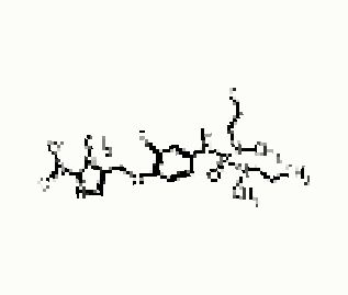 CCCN(C)P(=O)(Nc1ccc(OCc2cnc([N+](=O)[O-])n2C)c(F)c1)N(C)CCCl